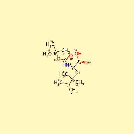 CC(C)C(C)(C)CC(NC(=O)OC(C)(C)C)C(=O)O